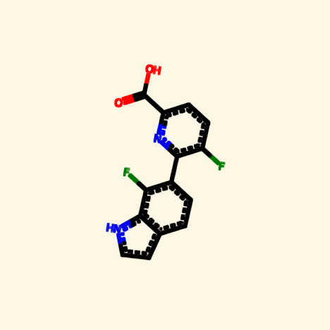 O=C(O)c1ccc(F)c(-c2ccc3cc[nH]c3c2F)n1